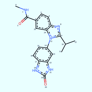 CNC(=O)c1ccc2nc(C(C)C)n(-c3ccc4[nH]c(=O)[nH]c4c3)c2c1